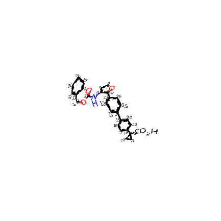 C[C@@H](OC(=O)Nc1ccoc1-c1ccc(-c2ccc(C3(C(=O)O)CC3)cc2)cc1)c1ccccc1